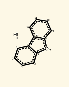 I.c1ccc2c(c1)oc1ccccc12